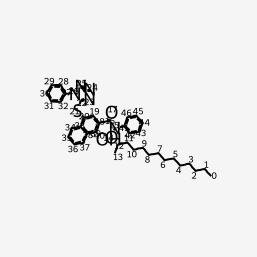 CCCCCCCCCCCCC(C)ON(C(=O)c1cc(Sc2nnnn2-c2ccccc2)c2ccccc2c1O)c1ccccc1